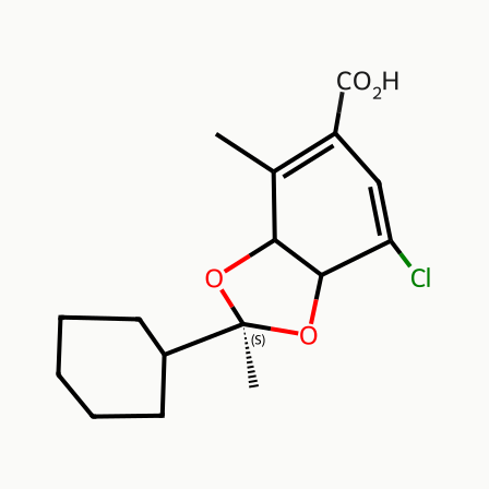 CC1=C(C(=O)O)C=C(Cl)C2O[C@@](C)(C3CCCCC3)OC12